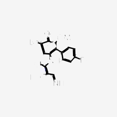 COn1c(-c2ccc(F)cc2)c(N/C(Cl)=C(/C)C=N)cc(Br)c1=O